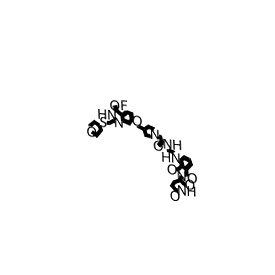 O=C(CN1CCC(COc2cc(F)c3c(=O)[nH]c(CSC4CCOCC4)nc3c2)CC1)NCCNc1cccc2c1C(=O)N(C1CCC(=O)NC1=O)C2=O